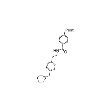 CCCC(C)c1ccc(C(=O)NCCc2ccc(CN3CCCC3)cc2)cc1